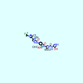 CO[C@@H]1CN(C(=O)N[C@@H]2CNC[C@H]2O)C[C@H]1NC(=O)c1ccc(NC(=O)c2ncc(-c3cn(C4CC4(F)F)nc3C(F)(F)F)n2C)cc1Cl.O=CO